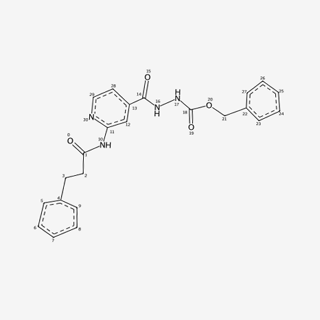 O=C(CCc1ccccc1)Nc1cc(C(=O)NNC(=O)OCc2ccccc2)ccn1